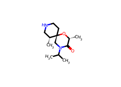 CC(C)N1C[C@@]2(CCNC[C@H]2C)O[C@H](C)C1=O